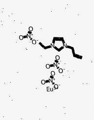 C=CCN1C=CN(CC)C1.O=[N+]([O-])[O-].O=[N+]([O-])[O-].O=[N+]([O-])[O-].[Eu+3]